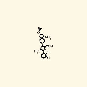 Cc1nc(N2CCC3(CC2)C[C@@H](OC2CC2)C[C@H]3N)c(CO)nc1-c1cccc(Cl)c1Cl